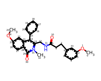 COc1cccc(CCC(=O)NCc2c(-c3ccccc3)c3cc(OC)ccc3c(=O)n2C)c1